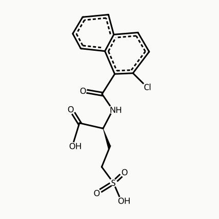 O=C(N[C@@H](CCS(=O)(=O)O)C(=O)O)c1c(Cl)ccc2ccccc12